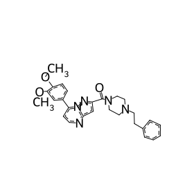 COc1ccc(-c2ccnc3cc(C(=O)N4CCN(CCc5ccccc5)CC4)nn23)cc1OC